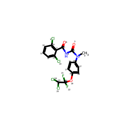 CN(C(=O)NC(=O)c1c(Cl)cccc1Cl)c1ccc(OC(F)(F)C(Cl)Cl)cc1